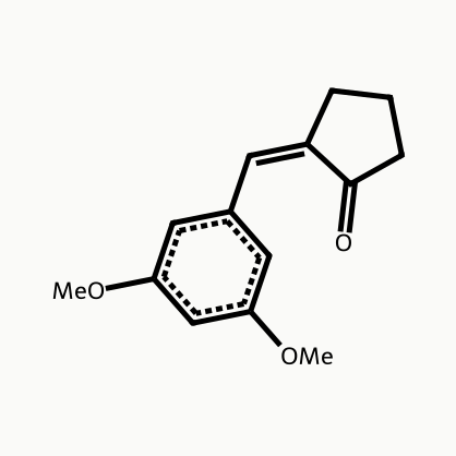 COc1cc(C=C2CCCC2=O)cc(OC)c1